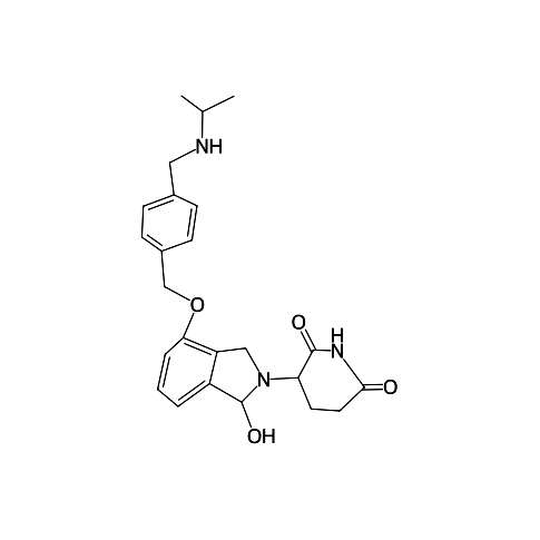 CC(C)NCc1ccc(COc2cccc3c2CN(C2CCC(=O)NC2=O)C3O)cc1